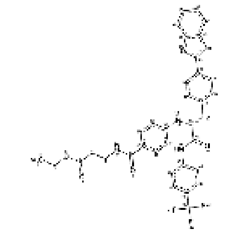 CCOC(=O)CCNC(=O)c1ccc(N[C@H](Cc2ccc(-c3cc4ccccc4o3)cc2)C(=O)Nc2ccc(C(F)(F)F)cc2)cc1